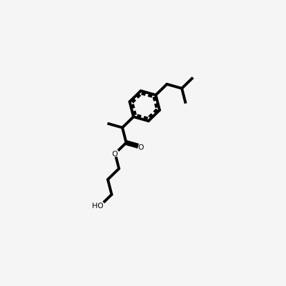 CC(C)Cc1ccc(C(C)C(=O)OCCCO)cc1